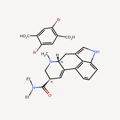 CCN(CC)C(=O)[C@@H]1C=C2c3cccc4[nH]cc(c34)C[C@H]2N(C)C1.O=C(O)c1cc(Br)c(C(=O)O)cc1Br